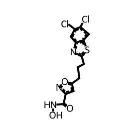 O=C(NO)c1cc(CCCc2nc3cc(Cl)c(Cl)cc3s2)on1